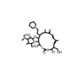 CCC1OC(=O)CC(O)C(C)C(OC2OC(C)C(C)C(N(C)C)C2O)C(CCN2CCCCC2)CC(C)C(=O)/C=C/C(C)=C/C1CO